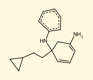 NC1=CC=CC(CCC2CC2)(Nc2ccccc2)C1